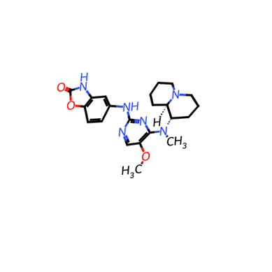 COc1cnc(Nc2ccc3oc(=O)[nH]c3c2)nc1N(C)[C@H]1CCCN2CCCC[C@H]12